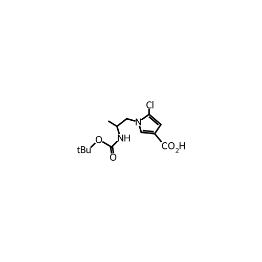 CC(Cn1cc(C(=O)O)cc1Cl)NC(=O)OC(C)(C)C